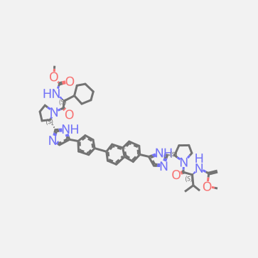 C=C(N[C@H](C(=O)N1CCC[C@H]1c1ncc(-c2ccc3cc(-c4ccc(-c5cnc([C@@H]6CCCN6C(=O)[C@@H](NC(=O)OC)C6CCCCC6)[nH]5)cc4)ccc3c2)[nH]1)C(C)C)OC